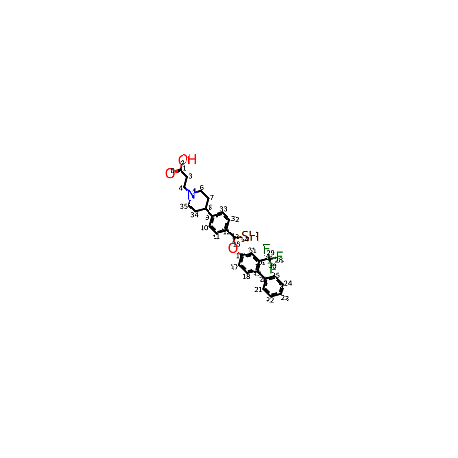 O=C(O)CCN1CCC(c2ccc(C(S)Oc3ccc(-c4ccccc4)c(C(F)(F)F)c3)cc2)CC1